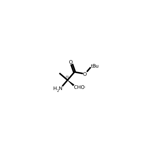 CC(C)(C)OC(=O)[C@@](C)(N)[C]=O